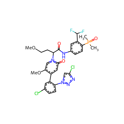 COCCC(C(=O)Nc1ccc(P(C)(C)=O)c(C(F)F)c1)n1cc(OC)c(-c2cc(Cl)ccc2-n2cc(Cl)nn2)cc1=O